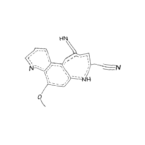 COc1cc2[nH]c(C#N)cc(=N)c2c2cccnc12